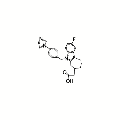 O=C(O)CC1CCCc2c(n(Cc3ccc(-n4ccnc4)cc3)c3ccc(F)cc23)C1